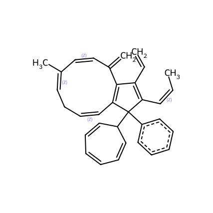 C=CC1=C(/C=C\C)C(c2ccccc2)(C2C=CC=CC=C2)C2=C1C(=C)/C=C\C(C)=C/C/C=C\2